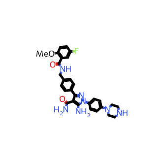 COc1ccc(F)cc1C(=O)NCc1ccc(-c2nn(-c3ccc(N4CCNCC4)cc3)c(N)c2C(N)=O)cc1